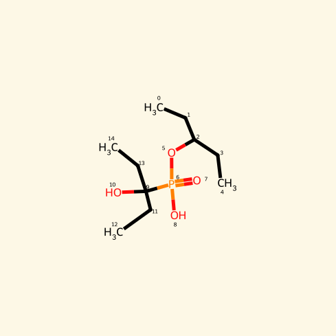 CCC(CC)OP(=O)(O)C(O)(CC)CC